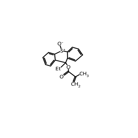 C=C(C)C(=O)OC1(CC)c2ccccc2[S+]([O-])c2ccccc21